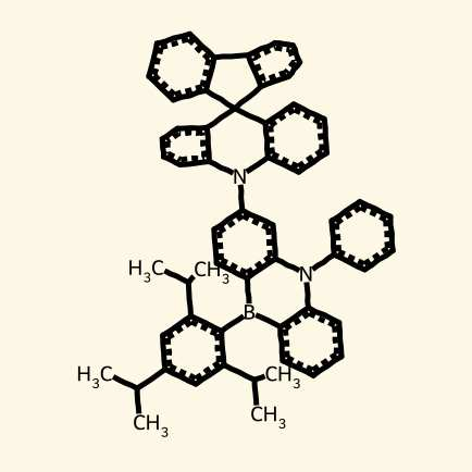 CC(C)c1cc(C(C)C)c(B2c3ccccc3N(c3ccccc3)c3cc(N4c5ccccc5C5(c6ccccc6-c6ccccc65)c5ccccc54)ccc32)c(C(C)C)c1